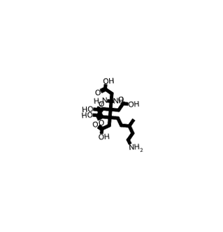 CC(CCN)CCC(CC(=O)O)(CC(=O)O)C(CC(=O)O)(CC(=O)O)C(N)(N)CC(=O)O